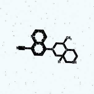 C[C@@H]1CN(c2ccc(C#N)c3ncccc23)C[C@H]2CNCCN21